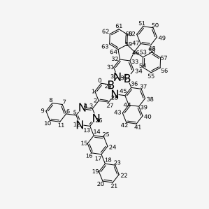 C1=CC(c2nc(-c3ccccc3)nc(-c3ccc(-c4ccccc4)cc3)n2)=CN2B1N1C=C3C(=CB1c1ccc4ccccc4c12)C(c1ccccc1)(c1ccccc1)c1ccccc13